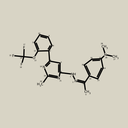 CC(=NNc1cc(-c2ccccc2OC(F)(F)F)nc(C)n1)c1ccc(N(C)C)cc1